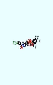 CC(C)(C1CCN(C(=O)c2cccc(Cl)c2)CC1)S(=O)(=O)c1cccc(C(F)(F)F)c1